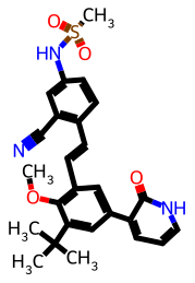 COc1c(C=Cc2ccc(NS(C)(=O)=O)cc2C#N)cc(-c2ccc[nH]c2=O)cc1C(C)(C)C